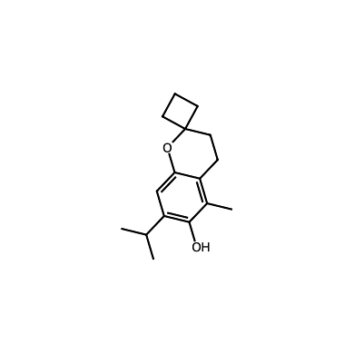 Cc1c(O)c(C(C)C)cc2c1CCC1(CCC1)O2